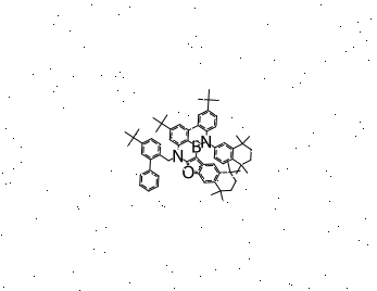 CC(C)(C)c1ccc(CN2c3cc(C(C)(C)C)cc4c3B(c3c2oc2cc5c(cc32)C(C)(C)CCC5(C)C)N(c2ccc3c(c2)C(C)(C)CCC3(C)C)c2ccc(C(C)(C)C)cc2-4)c(-c2ccccc2)c1